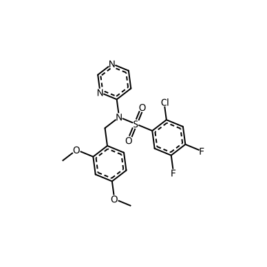 COc1ccc(CN(c2ccncn2)S(=O)(=O)c2cc(F)c(F)cc2Cl)c(OC)c1